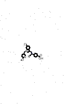 COc1ccc(Cn2cc(/C=C(\C#N)c3ccc(C(=O)O)cc3)c3ccc(Cl)cc32)cn1